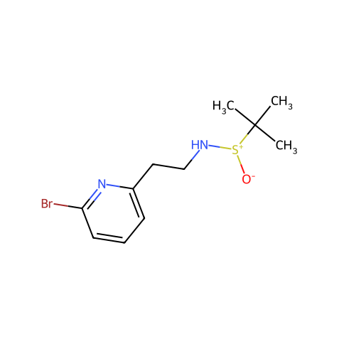 CC(C)(C)[S+]([O-])NCCc1cccc(Br)n1